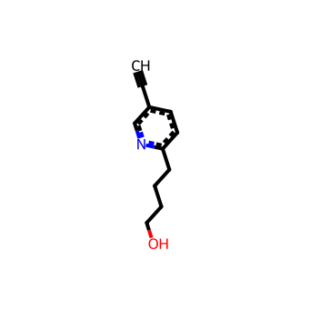 C#Cc1ccc(CCCCO)nc1